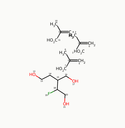 C=C(C)C(=O)O.C=C(C)C(=O)O.C=C(C)C(=O)O.OCCC(CO)C(F)CO